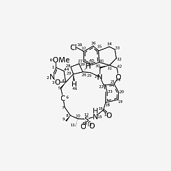 COC1=NO[C@]2(CCC[C@H](C)[C@@H](C)S(=O)(=O)NC(=O)c3ccc4c(c3)N(C[C@@H]3CC[C@H]32)C[C@@]2(CCCc3cc(Cl)ccc32)CO4)C1